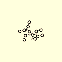 CC1(C)c2ccccc2-c2c1cc(-c1ccc(N(c3ccc(-c4ccccc4)cc3)c3ccc(-c4ccccc4)cc3)cc1Nc1cccc(-c3ccccc3)c1)c1c2N(c2cccc(-c3ccccc3)c2)c2cc(-c3ccccc3)ccc2B1